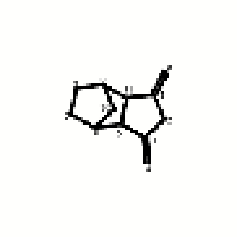 C=C1CC(=C)C2C3CCC(C3)C12